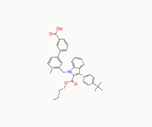 CCCCOC(=O)c1c(-c2ccc(C(C)(C)C)cc2)c2ccccc2n1Cc1cc(-c2cccc(C(=O)O)c2)ccc1C